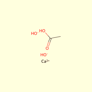 CC(=O)O.[Ca+2].[OH-].[OH-]